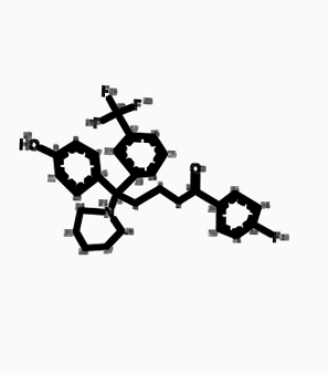 O=C(CCCC(c1ccc(O)cc1)(c1cccc(C(F)(F)F)c1)N1CCCCC1)c1ccc(F)cc1